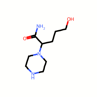 NC(=O)C(CCCO)N1CCNCC1